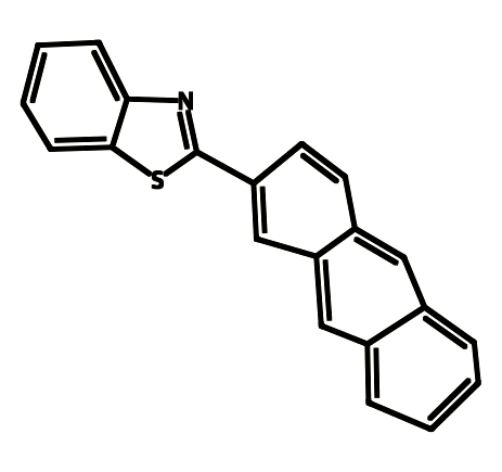 c1ccc2cc3cc(-c4nc5ccccc5s4)ccc3cc2c1